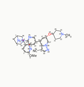 COc1ccc(CN2C3CC2CN(c2ccc(-c4cc(OC5CCN(C)CC5)cn5ncc(C#N)c45)cn2)C3)cn1